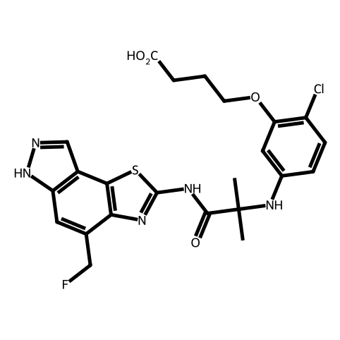 CC(C)(Nc1ccc(Cl)c(OCCCC(=O)O)c1)C(=O)Nc1nc2c(CF)cc3[nH]ncc3c2s1